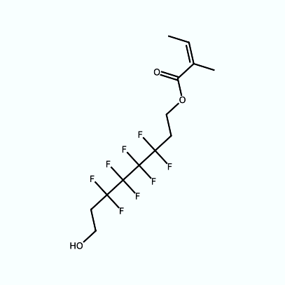 CC=C(C)C(=O)OCCC(F)(F)C(F)(F)C(F)(F)C(F)(F)CCO